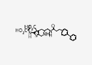 O=C(CCc1ccc(-c2ccccc2)cc1)NCC1Cc2c(sc(NC(=O)C(=O)O)c2C(=O)O)CN1